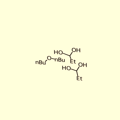 CCC(O)O.CCC(O)O.CCCCOCCCC